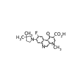 Cn1cc(C(=O)O)c(=O)c2c3cc(F)c(N4CCC(C)(C)C4)cc3ncc21